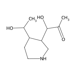 CC(=O)C(O)C1CNCCC1C(C)O